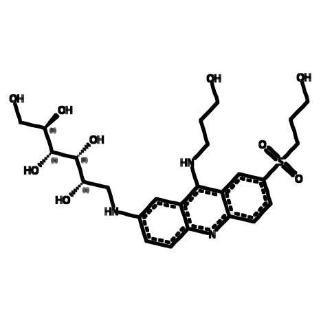 O=S(=O)(CCCO)c1ccc2nc3ccc(NC[C@H](O)[C@@H](O)[C@H](O)[C@H](O)CO)cc3c(NCCCO)c2c1